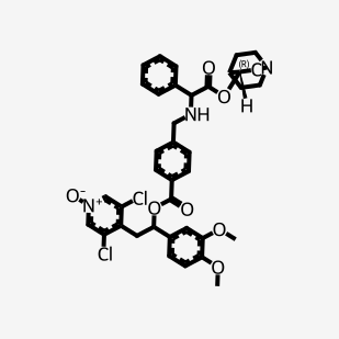 COc1ccc(C(Cc2c(Cl)c[n+]([O-])cc2Cl)OC(=O)c2ccc(CNC(C(=O)O[C@H]3CN4CCC3CC4)c3ccccc3)cc2)cc1OC